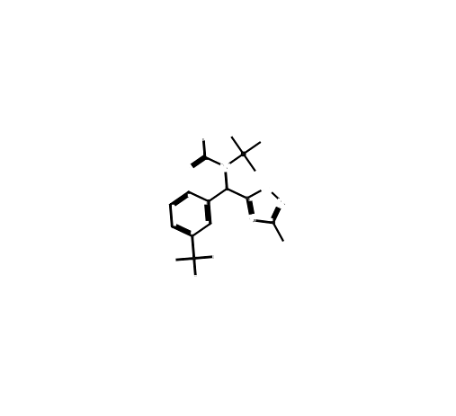 Cc1noc(C(c2cccc(C(F)(F)F)c2)N(C(=O)O)C(C)(C)C)n1